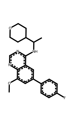 COc1cc(-c2ccc(F)cc2)cc2c(NC(C)C3CCOCC3)ncnc12